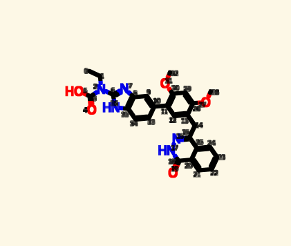 CCN(C(=O)O)c1nc2cc(-c3cc(Cc4n[nH]c(=O)c5ccccc45)c(OC)cc3OC)ccc2[nH]1